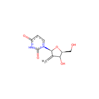 C=C1C(O)[C@H](CO)O[C@@H]1n1ccc(=O)[nH]c1=O